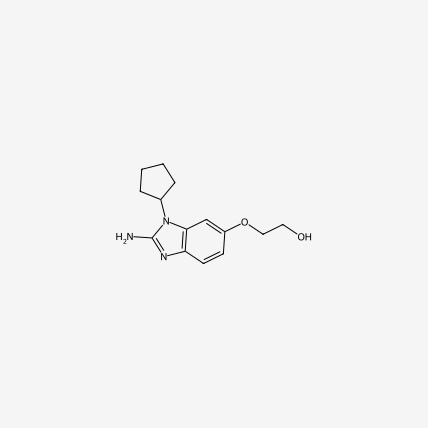 Nc1nc2ccc(OCCO)cc2n1C1CCCC1